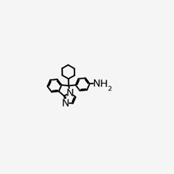 Nc1ccc(C2(C3CCCCC3)c3ccccc3-c3nccn32)cc1